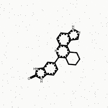 O=c1[nH]c2ccc(-c3nc4ccc5[nH]ncc5c4c4c3CCCC4)cc2[nH]1